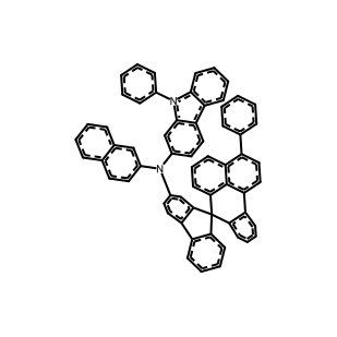 c1ccc(-c2ccc3c4c(cccc24)C2(c4ccccc4-c4ccc(N(c5ccc6ccccc6c5)c5ccc6c7ccccc7n(-c7ccccc7)c6c5)cc42)c2ccccc2-3)cc1